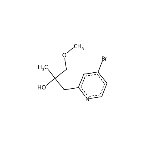 COCC(C)(O)Cc1cc(Br)ccn1